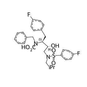 CC(C)CN(C[C@@H](O)[C@H](Cc1ccc(F)cc1)N(Cc1ccccc1)C(=O)O)S(=O)(=O)c1ccc(F)cc1